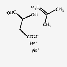 C=C(C)C.O=C([O-])CC(O)C(=O)[O-].[Na+].[Na+]